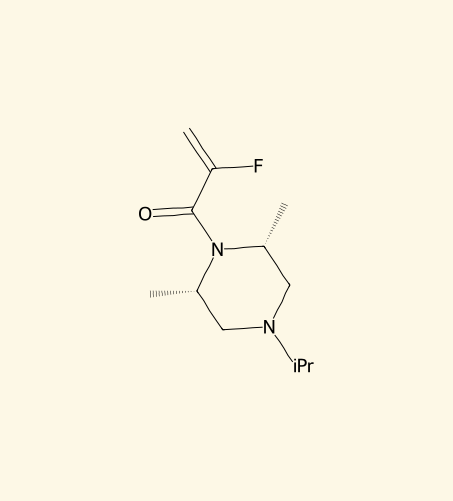 C=C(F)C(=O)N1[C@H](C)CN(C(C)C)C[C@@H]1C